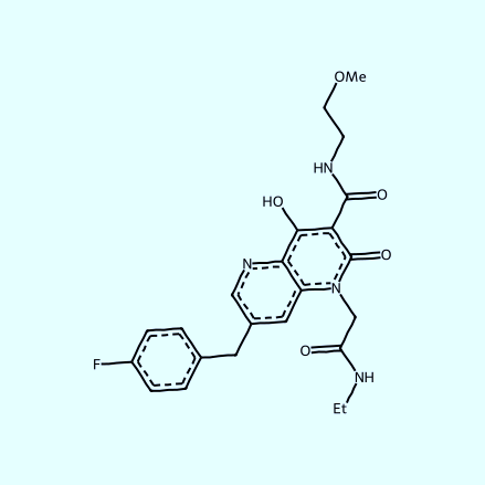 CCNC(=O)Cn1c(=O)c(C(=O)NCCOC)c(O)c2ncc(Cc3ccc(F)cc3)cc21